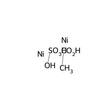 CC(=O)O.O=S(=O)(O)O.[Ni].[Ni]